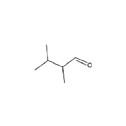 CC(C)C(C)C=O